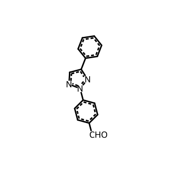 O=Cc1ccc(-n2ncc(-c3ccccc3)n2)cc1